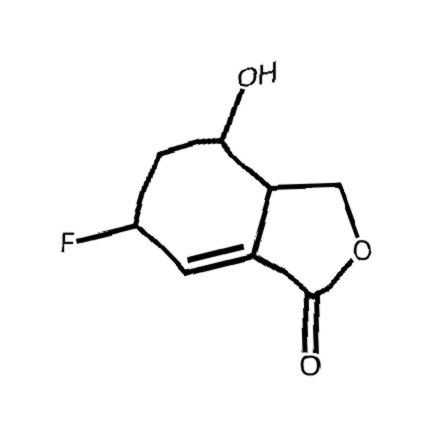 O=C1OCC2C1=CC(F)CC2O